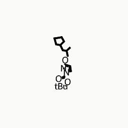 CC(COc1ccn(C(=O)OC(C)(C)C)n1)CC1CCCC1